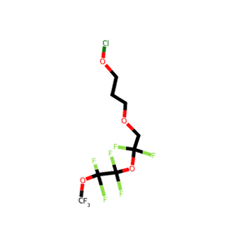 FC(F)(F)OC(F)(F)C(F)(F)OC(F)(F)COCCCOCl